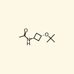 CC(=O)N[C@H]1C[C@H](OC(C)(C)C)C1